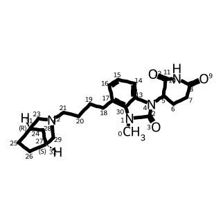 Cn1c(=O)n(C2CCC(=O)NC2=O)c2cccc(CCCCN3C[C@@H]4CC[C@@H](C4)C3)c21